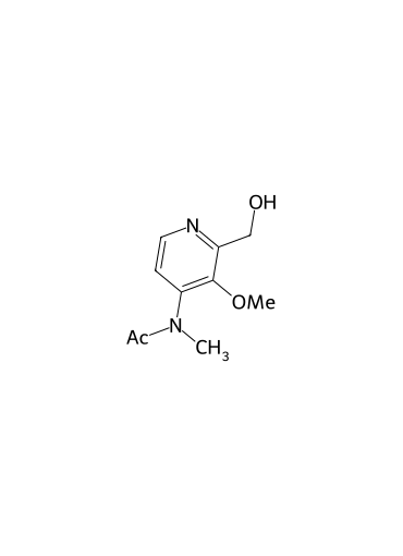 COc1c(N(C)C(C)=O)ccnc1CO